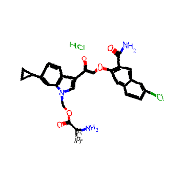 CC(C)[C@H](N)C(=O)OCn1cc(C(=O)COc2cc3ccc(Cl)cc3cc2C(N)=O)c2ccc(C3CC3)cc21.Cl